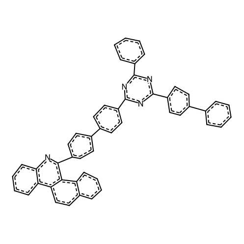 c1ccc(-c2ccc(-c3nc(-c4ccccc4)nc(-c4ccc(-c5ccc(-c6nc7ccccc7c7ccc8ccccc8c67)cc5)cc4)n3)cc2)cc1